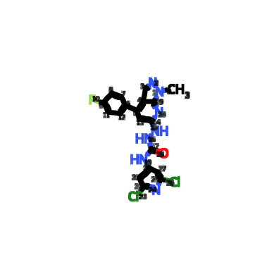 Cn1ncc2c(-c3ccc(F)cc3)cc(NNC(=O)Nc3cc(Cl)nc(Cl)c3)nc21